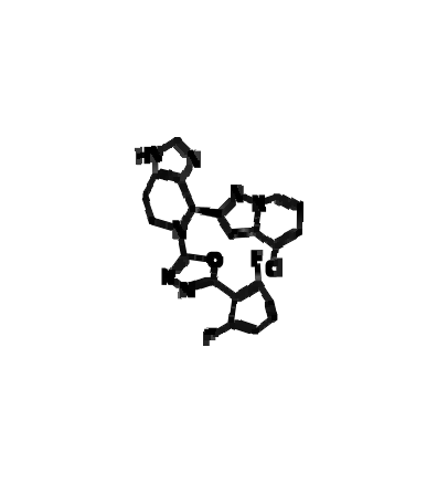 Fc1cccc(F)c1-c1nnc(N2CCc3[nH]cnc3[C@H]2c2cc3c(Cl)cccn3n2)o1